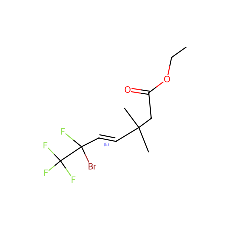 CCOC(=O)CC(C)(C)/C=C/C(F)(Br)C(F)(F)F